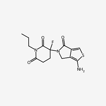 CCCN1C(=O)CCC(F)(N2Cc3c(csc3N)C2=O)C1=O